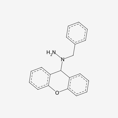 NN(Cc1ccccc1)C1c2ccccc2Oc2ccccc21